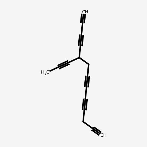 C#CC#CC(C#C[CH2])CC#CC#C[CH]C#C